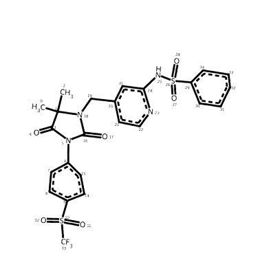 CC1(C)C(=O)N(c2ccc(S(=O)(=O)C(F)(F)F)cc2)C(=O)N1Cc1ccnc(NS(=O)(=O)c2ccccc2)c1